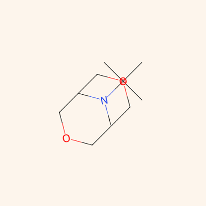 CC(C)(C)N1C2COCC1COC2